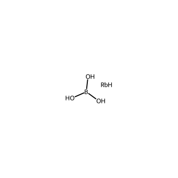 OB(O)O.[RbH]